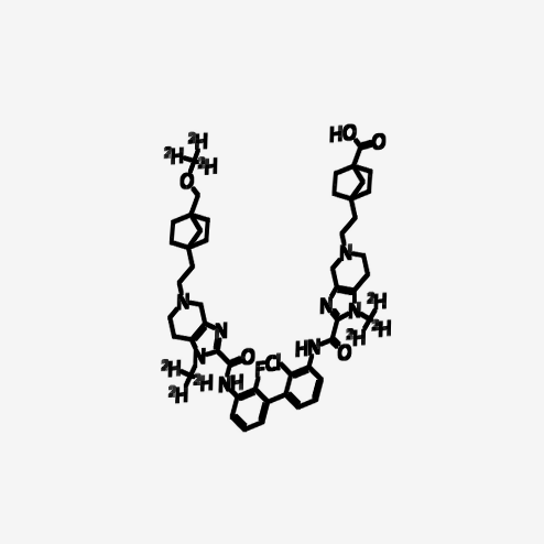 [2H]C([2H])([2H])OCC12CCC(CCN3CCc4c(nc(C(=O)Nc5cccc(-c6cccc(NC(=O)c7nc8c(n7C([2H])([2H])[2H])CCN(CCC79CCC(C(=O)O)(CC7)C9)C8)c6Cl)c5F)n4C([2H])([2H])[2H])C3)(CC1)C2